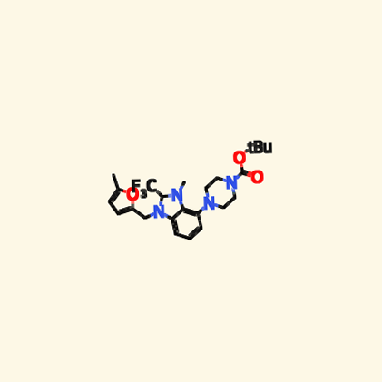 Cc1ccc(CN2c3cccc(N4CCN(C(=O)OC(C)(C)C)CC4)c3N(C)C2C(F)(F)F)o1